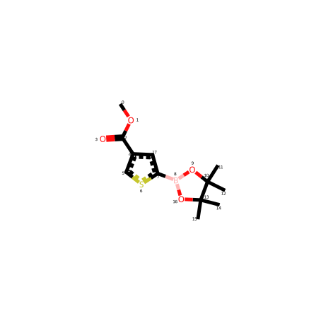 COC(=O)c1csc(B2OC(C)(C)C(C)(C)O2)c1